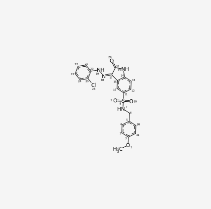 COc1ccc(CNS(=O)(=O)c2ccc3c(c2)/C(=N/Nc2ccccc2Cl)C(=O)N3)cc1